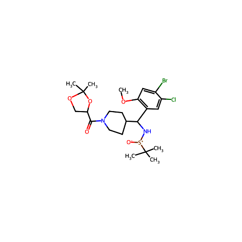 COc1cc(Br)c(Cl)cc1C(N[S+]([O-])C(C)(C)C)C1CCN(C(=O)C2COC(C)(C)O2)CC1